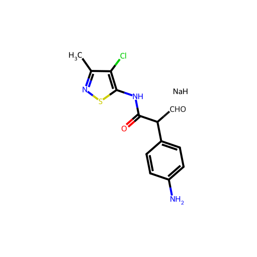 Cc1nsc(NC(=O)C(C=O)c2ccc(N)cc2)c1Cl.[NaH]